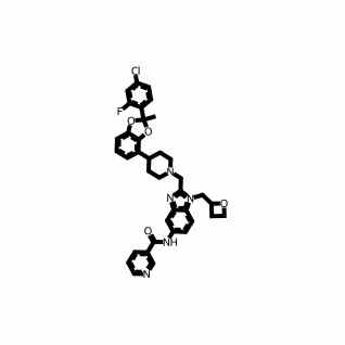 CC1(c2ccc(Cl)cc2F)Oc2cccc(C3CCN(Cc4nc5cc(NC(=O)c6cccnc6)ccc5n4CC4CCO4)CC3)c2O1